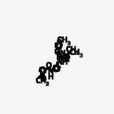 C=CC(=O)N1CCCC(C(=O)Nc2cccc(CNc3nc(OC4CCN(C)CC4)nc4c(C(C)C)cnn34)c2)C1